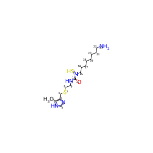 Cc1[nH]cnc1CSCCNC(=O)N(S)CCCCCCCCN